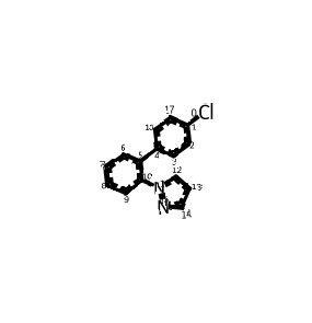 Clc1ccc(-c2ccccc2-n2cccn2)cc1